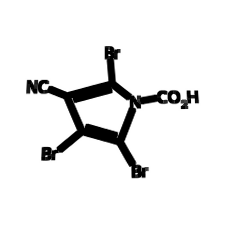 N#Cc1c(Br)c(Br)n(C(=O)O)c1Br